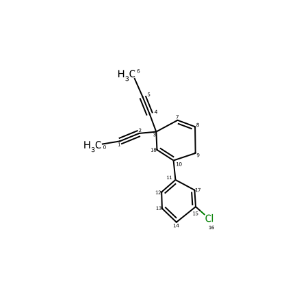 CC#CC1(C#CC)C=CCC(c2cccc(Cl)c2)=C1